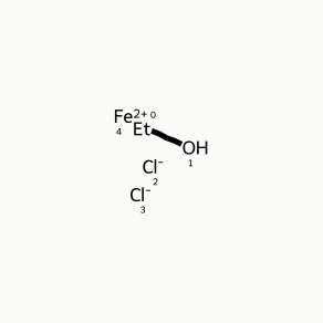 CCO.[Cl-].[Cl-].[Fe+2]